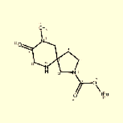 CN1CC2(CCN(C(=O)OC(C)(C)C)C2)NCC1=O